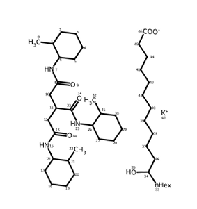 CC1CCCCC1NC(=O)CC(CC(=O)NC1CCCCC1C)C(=O)NC1CCCCC1C.CCCCCCC(O)CCCCCCCCCCC(=O)[O-].[K+]